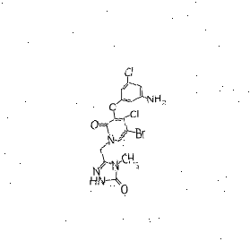 Cn1c(Cn2cc(Br)c(Cl)c(Oc3cc(N)cc(Cl)c3)c2=O)n[nH]c1=O